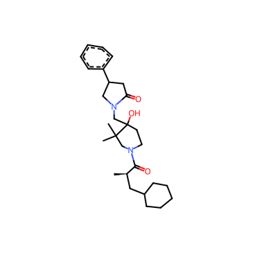 C[C@H](CC1CCCCC1)C(=O)N1CCC(O)(CN2CC(c3ccccc3)CC2=O)C(C)(C)C1